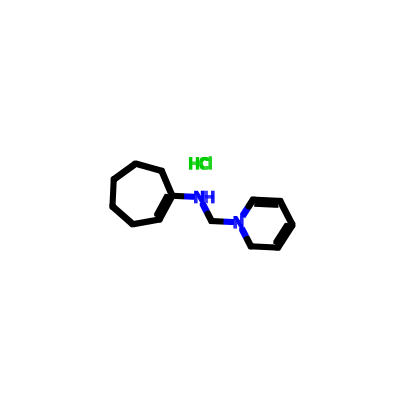 C1=CCN(CNC2=CCCCCC2)C=C1.Cl